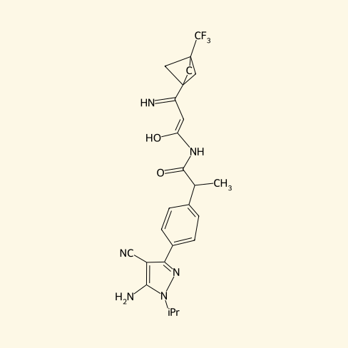 CC(C(=O)N/C(O)=C/C(=N)C12CC(C(F)(F)F)(C1)C2)c1ccc(-c2nn(C(C)C)c(N)c2C#N)cc1